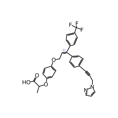 CC(Oc1ccc(OC/C=C(\c2ccc(C#CCn3cccn3)cc2)c2ccc(C(F)(F)F)cc2)cc1)C(=O)O